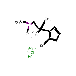 CP(C)CC(C)(C)C1=[C]([Zr])CC=C1.Cl.Cl.Cl